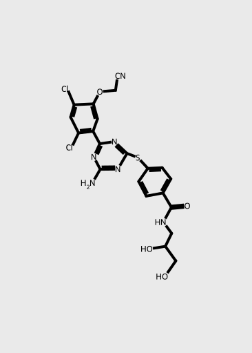 N#CCOc1cc(-c2nc(N)nc(Sc3ccc(C(=O)NCC(O)CO)cc3)n2)c(Cl)cc1Cl